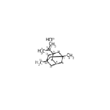 CN(C)C12CC3CC(C)(CC(C)(C3)C1)C2.Cl